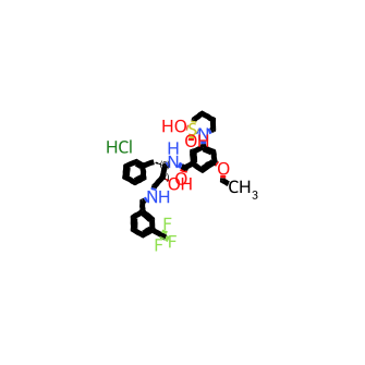 CCOc1cc(C(=O)N[C@@H](Cc2ccccc2)[C@H](O)CNCc2cccc(C(F)(F)F)c2)cc(N2CCCCS2(O)O)c1.Cl